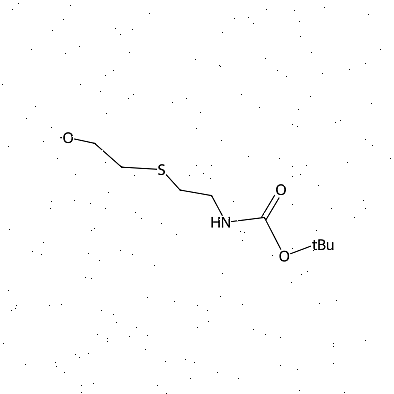 CC(C)(C)OC(=O)NCCSCC[O]